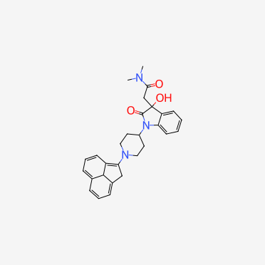 CN(C)C(=O)CC1(O)C(=O)N(C2CCN(C3=C4C=CC=C5C=CC=C(C3)C54)CC2)c2ccccc21